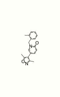 Cc1ccccc1Cn1cc(-c2c(C)noc2C)ccc1=O